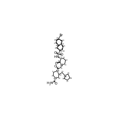 NC(=O)N1CCN(C(=O)CN2CCC[C@H](NS(=O)(=O)c3ccc4cc(Br)ccc4c3)C2=O)C(CN2CCCC2)C1